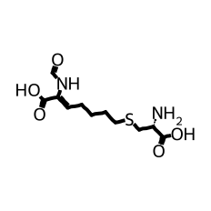 N[C@@H](CSCCCC/C=C(\NC=O)C(=O)O)C(=O)O